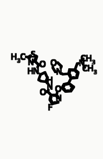 Cc1nc(C(=O)N[C@H]2CC[C@H](NC(=O)c3cc(F)cnc3Oc3cccc(-c4ccc(CN(C)C)cc4CN4CCOCC4)c3)CC2)cs1